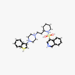 O=S(=O)(c1cncc2ccccc12)N1CCCCC1CCN1CCN(c2csc3ccccc23)CC1